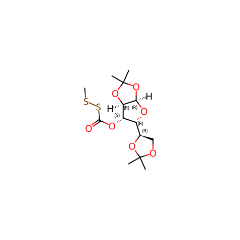 CSSC(=O)O[C@@H]1[C@H]2OC(C)(C)O[C@H]2O[C@@H]1[C@H]1COC(C)(C)O1